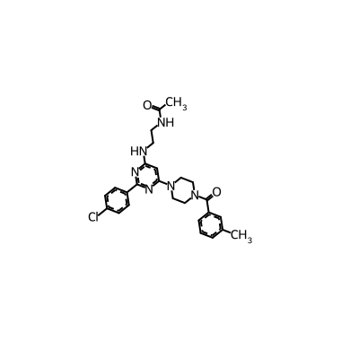 CC(=O)NCCNc1cc(N2CCN(C(=O)c3cccc(C)c3)CC2)nc(-c2ccc(Cl)cc2)n1